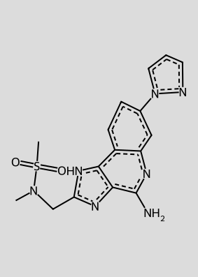 CN(Cc1nc2c(N)nc3cc(-n4cccn4)ccc3c2[nH]1)S(C)(=O)=O